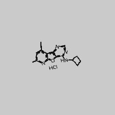 Cc1cc(C)c2c(n1)oc1c(NC3CCC3)ncnc12.Cl